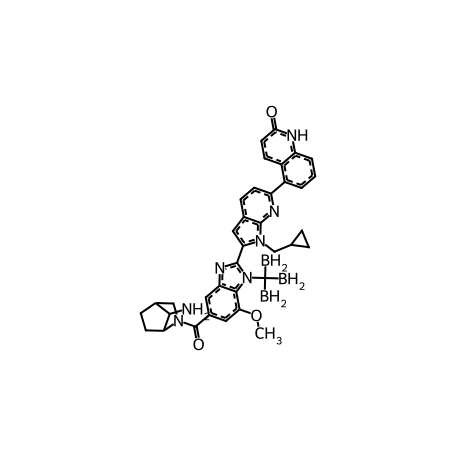 BC(B)(B)n1c(-c2cc3ccc(-c4cccc5[nH]c(=O)ccc45)nc3n2CC2CC2)nc2cc(C(=O)N3CC4CCC3C4N)cc(OC)c21